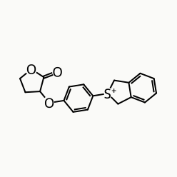 O=C1OCCC1Oc1ccc([S+]2Cc3ccccc3C2)cc1